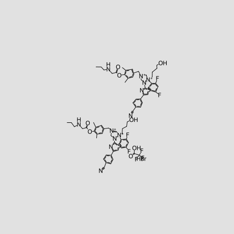 Br.CCCNCC(=O)Oc1c(C)cc(C[N+]2=C[N+](CCCCO)(c3ccc(F)cc3F)N(c3nc(-c4ccc(C#N)cc4)cs3)C2)cc1C.CCCNCC(=O)Oc1c(C)cc(C[N+]2=C[N+](CCCCO)(c3ccc(F)cc3F)N(c3nc(-c4ccc(C#N)cc4)cs3)C2)cc1C.O=C(O)C(F)(F)F